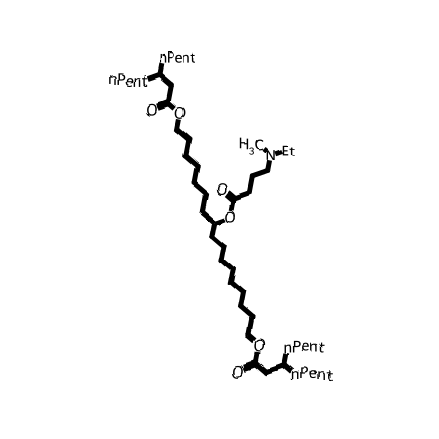 CCCCCC(CCCCC)CC(=O)OCCCCCCCCCC(CCCCCCCOC(=O)CC(CCCCC)CCCCC)OC(=O)CCCN(C)CC